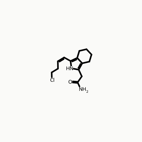 NC(=O)Cc1[nH]c(/C=C\CCCl)c2c1CCCC2